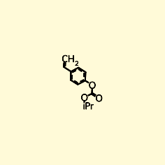 C=Cc1ccc(OC(=O)OC(C)C)cc1